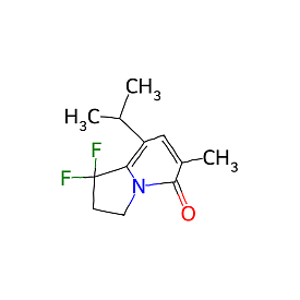 Cc1cc(C(C)C)c2n(c1=O)CCC2(F)F